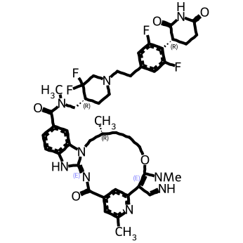 CN/C1=C(\C=N)c2cc(cc(C)n2)C(=O)/N=C2\Nc3ccc(C(=O)N(C)C[C@H]4CCN(CCc5cc(F)c([C@H]6CCC(=O)NC6=O)c(F)c5)CC4(F)F)cc3N2C[C@H](C)CCCO1